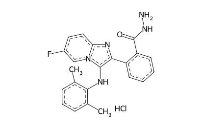 Cc1cccc(C)c1Nc1c(-c2ccccc2C(=O)NN)nc2ccc(F)cn12.Cl